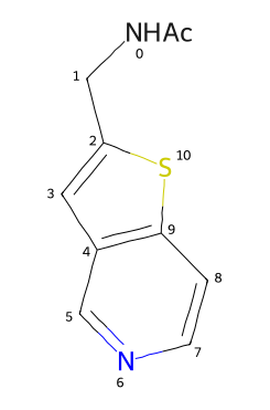 CC(=O)NCc1cc2cnccc2s1